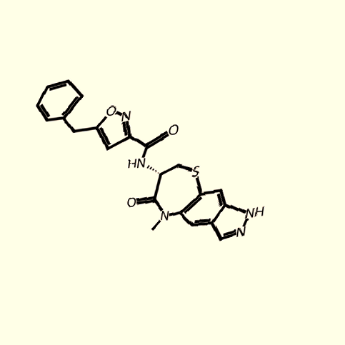 CN1C(=O)[C@H](NC(=O)c2cc(Cc3ccccc3)on2)CSc2cc3[nH]ncc3cc21